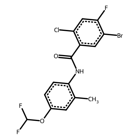 Cc1cc(OC(F)F)ccc1NC(=O)c1cc(Br)c(F)cc1Cl